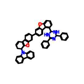 C1=Cc2c(oc3cc(-c4ccc5c(c4)oc4cccc(C6NC(c7ccccc7)=NC(c7ccccc7)N6)c45)ccc23)C(n2c3ccccc3c3ccccc32)C1